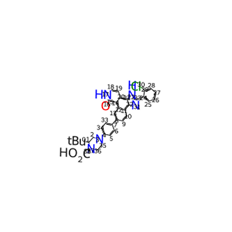 CC(C)(C)C1CN(c2ccc(-c3ccc4c(c3)c3c(=O)[nH]ccc3c3[nH]c(-c5ccccc5Cl)nc43)cc2)CCN1C(=O)O